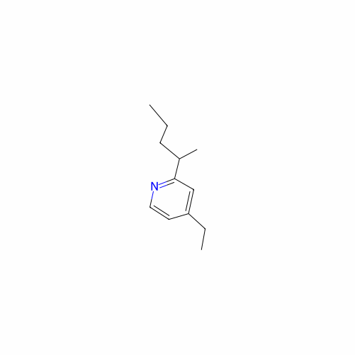 CCCC(C)c1cc(CC)ccn1